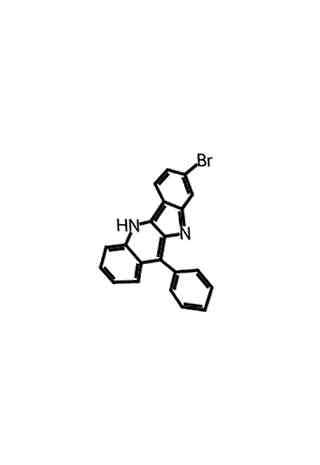 Brc1ccc2c3[nH]c4ccccc4c(-c4ccccc4)c-3nc2c1